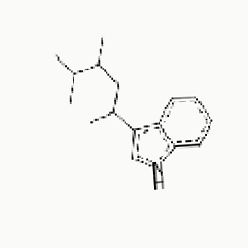 CC(CC(C)C(C)C)c1c[nH]c2ccccc12